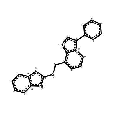 c1ccc(-c2cnc3c(CSc4nc5ccccc5[nH]4)cccn23)cc1